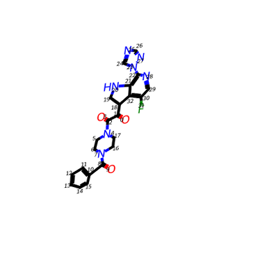 O=C(C(=O)N1CCN(C(=O)c2ccccc2)CC1)C1CNc2c(-n3cncn3)ncc(F)c21